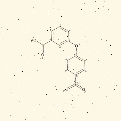 O=C(O)c1cccc(Oc2ccc([SH](=O)=O)cc2)c1